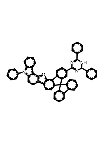 c1ccc(C2=NC(c3ccc4c(c3)C3(c5ccccc5-c5ccccc53)c3ccc5c(oc6c5ccc5c6c6ccccc6n5-c5ccccc5)c3-4)=NC(c3ccccc3)N2)cc1